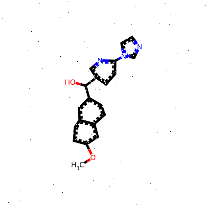 COc1ccc2cc(C(O)c3ccc(-n4ccnc4)nc3)ccc2c1